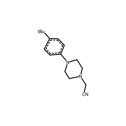 CC(C)(C)c1ccc(N2CCN(CC#N)CC2)cc1